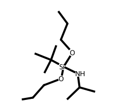 CCCO[Si](NC(C)C)(OCCC)C(C)(C)C